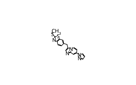 CSc1nc2ccc(Cc3cnc4cc(-n5cccn5)ccn34)cc2s1